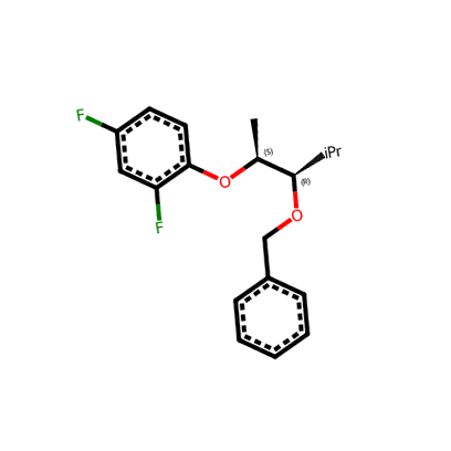 CC(C)[C@@H](OCc1ccccc1)[C@H](C)Oc1ccc(F)cc1F